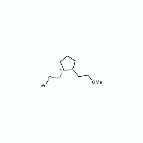 COCCN1CCC[C@H]1COC(C)C